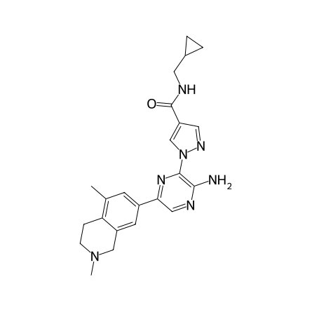 Cc1cc(-c2cnc(N)c(-n3cc(C(=O)NCC4CC4)cn3)n2)cc2c1CCN(C)C2